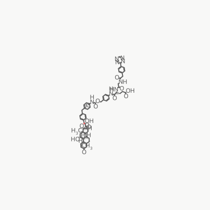 C[C@]12C=CC(=O)C=C1CC[C@@H]1[C@@H]2[C@@H](O)C[C@@]2(C)[C@H]1C[C@H]1OC(c3ccc(CC45CCC(NC(=O)OCc6ccc(NC(=O)[C@H](CCC(=O)O)NC(=O)CNC(=O)Cc7ccc(-c8nncnn8)cc7)cc6)(CC4)CC5)cc3)O[C@]12C(=O)CO